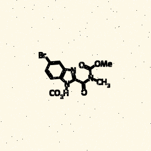 COC(=O)N(C)C(=O)c1nc2cc(Br)ccc2n1C(=O)O